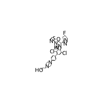 O=C(Nc1nccs1)C(c1ncn2c1C[C@@H](F)C2)n1cc2c(Cl)cc(-c3ccc(N4CCN(CCO)CC4)cc3)c(Cl)c2n1